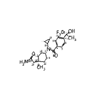 C[C@](O)(c1ccc(C(=O)N(C2CC2)[C@H]2CC[C@](C)(CC(N)=O)CC2)cc1)C(F)(F)F